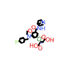 O=C(NC1CN2CCC1CC2)c1cc(Cl)cc2c1OCCN2Cc1ccc(F)cc1.O=C(O)/C=C/C(=O)O